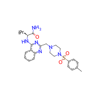 Cc1ccc(S(=O)(=O)N2CCN(Cc3nc(N[C@H](C(N)=O)C(C)C)c4ccccc4n3)CC2)cc1